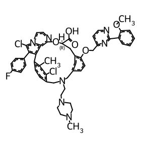 COc1ccccc1-c1nccc(COc2ccc3cc2C[C@H](C(=O)O)Oc2nccn4c(Cl)c(-c5ccc(F)cc5)c(c24)-c2ccc(c(Cl)c2C)CN(CCN2CCN(C)CC2)C3)n1